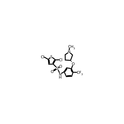 CN1CC[C@@H](Oc2cc(NS(=O)(=O)c3cc(Cl)sc3Cl)ccc2C(F)(F)F)C1